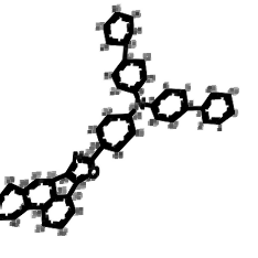 c1ccc(-c2ccc(N(c3ccc(-c4ccccc4)cc3)c3ccc(-c4nc5c(o4)-c4cccc6c4c-5cc4ccccc46)cc3)cc2)cc1